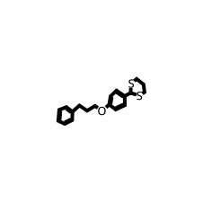 c1ccc(CCCOc2ccc(C3SCCCS3)cc2)cc1